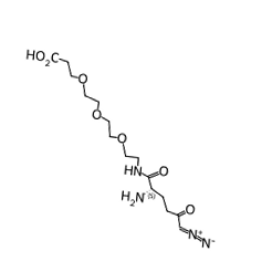 [N-]=[N+]=CC(=O)CC[C@H](N)C(=O)NCCOCCOCCOCCC(=O)O